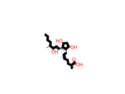 CCCC[C@@H](C)[C@H](O)/C=C/[C@@H]1[C@@H](C/C=C\CCC(C)C(=O)O)[C@@H](O)C[C@H]1O